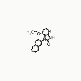 CCOc1ccnc2[nH]c(=O)n(-c3ccc4cnccc4c3)c12